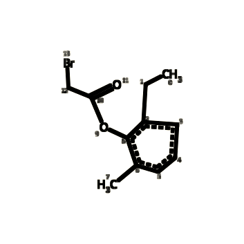 CCc1cccc(C)c1OC(=O)CBr